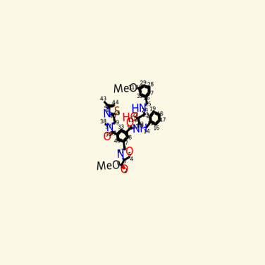 COC(=O)C1COC(c2cc(C(=O)N[C@@H](Cc3ccccc3)[C@@H](O)CNCc3cccc(OC)c3)cc(C(=O)N(C)Cc3nc(C)cs3)c2)=N1